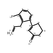 C=CCc1c(F)cccc1C1=CC(=O)CCC1